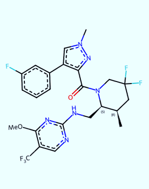 COc1nc(NC[C@@H]2[C@H](C)CC(F)(F)CN2C(=O)c2nn(C)cc2-c2cccc(F)c2)ncc1C(F)(F)F